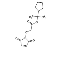 CC(C)(OC(=O)CON1C(=O)C=CC1=O)C1CCCC1